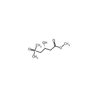 COC(=O)C[C@@H](O)CP(C)(C)=O